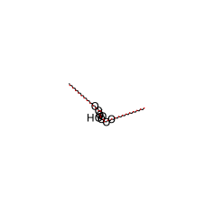 CCCCCCCCCCCCCCCCCCOCCOC(C)COP(=O)(O)OCC(C)OCCOCCCCCCCCCCCCCCCCCC